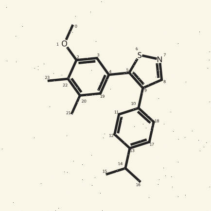 COc1cc(-c2sncc2-c2ccc(C(C)C)cc2)cc(C)c1C